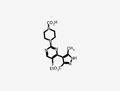 CCOC(=O)c1n[nH]c(C)c1-c1nc(N2CCN(C(=O)O)CC2)ncc1F